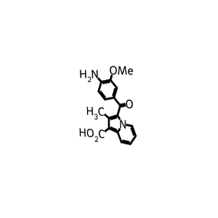 COc1cc(C(=O)c2c(C)c(C(=O)O)c3ccccn23)ccc1N